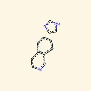 c1c[nH]cn1.c1ccc2cnccc2c1